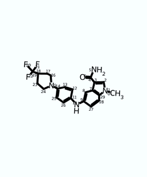 Cn1cc(C(N)=O)c2cc(Nc3ccc(N4CCC(C(F)(F)F)CC4)cc3)ccc21